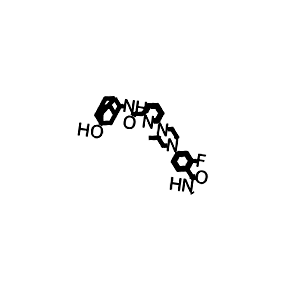 CNC(=O)c1ccc(N2CCN(c3cccc(C(=O)NC4C5CC6CC4CC(O)(C6)C5)n3)C(C)C2)cc1F